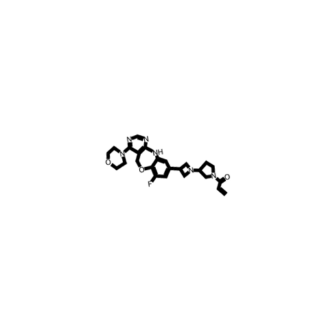 C=CC(=O)N1CCC(N2CC(c3cc(F)c4c(c3)Nc3ncnc(N5CCOCC5)c3CO4)C2)C1